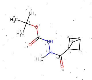 CN(NC(=O)OC(C)(C)C)C(=O)C12CC(C1)C2